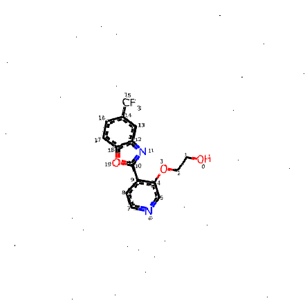 OCCOc1cnccc1-c1nc2cc(C(F)(F)F)ccc2o1